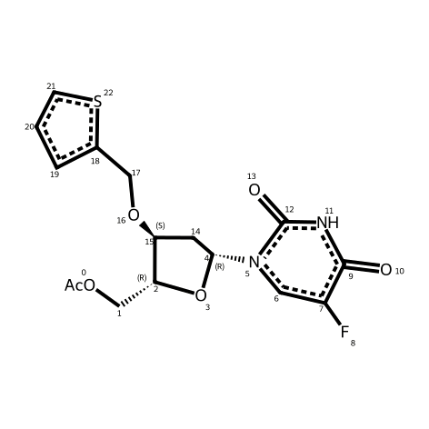 CC(=O)OC[C@H]1O[C@@H](n2cc(F)c(=O)[nH]c2=O)C[C@@H]1OCc1cccs1